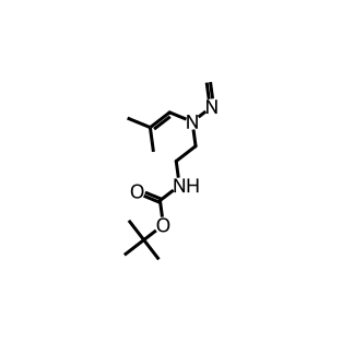 C=NN(C=C(C)C)CCNC(=O)OC(C)(C)C